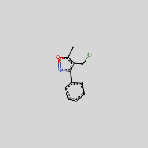 Cc1onc(-c2ccccc2)c1CCl